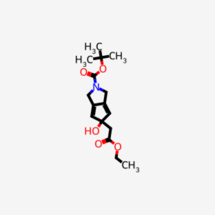 CCOC(=O)CC1(O)C=C2CN(C(=O)OC(C)(C)C)CC2=C1